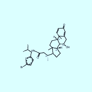 CC(C)C(NC(=O)C[C@@H](C)C1CC[C@H]2C3[C@H](O)CC4=CC(=O)C=CC4(C)[C@H]3CCC12C)c1ccc(Br)s1